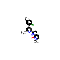 CCc1ccc(F)c(-c2cc(C)nc([C@H]3CC[C@@]4(CCN(C)C4=O)N3)c2)c1